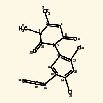 Cn1c(C(F)(F)F)cc(=O)n(-c2cc(N=C=S)c(Cl)cc2Cl)c1=O